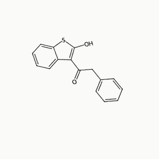 O=C(Cc1ccccc1)c1c(O)sc2ccccc12